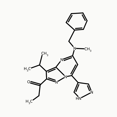 CCC(=O)c1nn2c(-c3cn[nH]c3)cc(N(C)Cc3ccccc3)nc2c1C(C)C